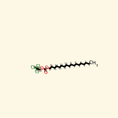 CCCCCCCCCCCCCCCCCCOC(=O)OCC(Cl)(Cl)Cl